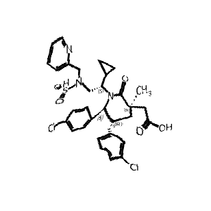 C[C@]1(CC(=O)O)C[C@H](c2cccc(Cl)c2)[C@@H](c2ccc(Cl)cc2)N([C@H](CN(Cc2ccccn2)[SH](=O)=O)C2CC2)C1=O